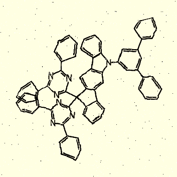 c1ccc(-c2cc(-c3ccccc3)cc(-n3c4ccccc4c4cc5c(cc43)-c3ccccc3C5(c3nc(-c4ccccc4)nc(-c4ccccc4)n3)c3nc(-c4ccccc4)nc(-c4ccccc4)n3)c2)cc1